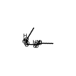 CCCCCCCCCCCCCCCCOc1ccc(C(=O)OC(=O)CCCCCCCCC(=O)OC(=O)c2ccc(OCCCCCCCCCCCCCCCC)c(NC(C)=O)c2)cc1NC(C)=O